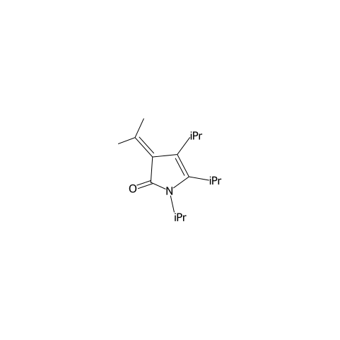 CC(C)=C1C(=O)N(C(C)C)C(C(C)C)=C1C(C)C